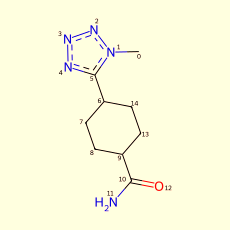 Cn1nnnc1C1CCC(C(N)=O)CC1